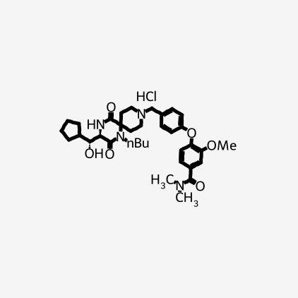 CCCCN1C(=O)[C@@H]([C@H](O)C2CCCC2)NC(=O)C12CCN(Cc1ccc(Oc3ccc(C(=O)N(C)C)cc3OC)cc1)CC2.Cl